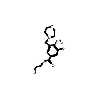 Nc1c(Br)cc(C(=O)OCCCl)cc1CN1CCOCC1